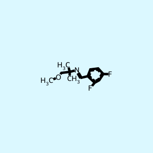 COCC(C)(C)N=Cc1ccc(F)cc1F